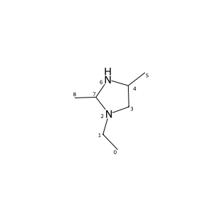 CCN1CC(C)NC1C